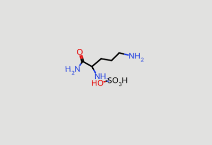 NCCCC(N)C(N)=O.O=S(=O)(O)O